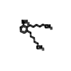 CCCCCCc1cccc(N)c1CCCCCC